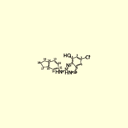 Oc1cc(Cl)cc2c1N=C(Nc1ccc3c(c1)CCC3)NS2